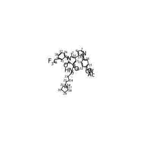 CC(=O)[O-].Cc1c(-c2ccnn2-c2ccc(C#N)cc2)cc(C(=O)NCCCC[N+]2(C)CCCC2)c(=O)n1-c1cccc(C(F)(F)F)c1